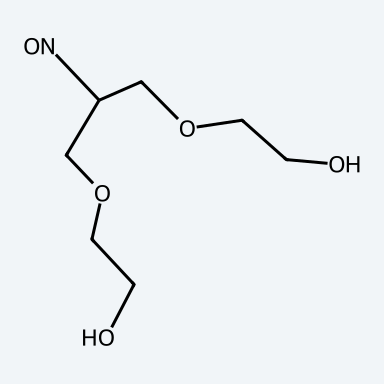 O=NC(COCCO)COCCO